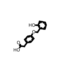 O=C(O)Cc1ccc(OCc2ccccc2O)cc1